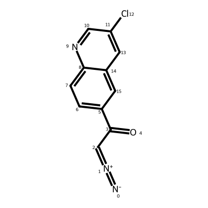 [N-]=[N+]=CC(=O)c1ccc2ncc(Cl)cc2c1